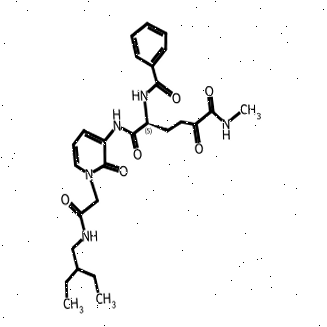 CCC(CC)CNC(=O)Cn1cccc(NC(=O)[C@H](CCC(=O)C(=O)NC)NC(=O)c2ccccc2)c1=O